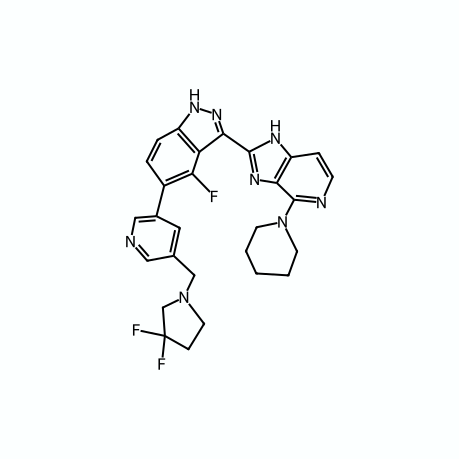 Fc1c(-c2cncc(CN3CCC(F)(F)C3)c2)ccc2[nH]nc(-c3nc4c(N5CCCCC5)nccc4[nH]3)c12